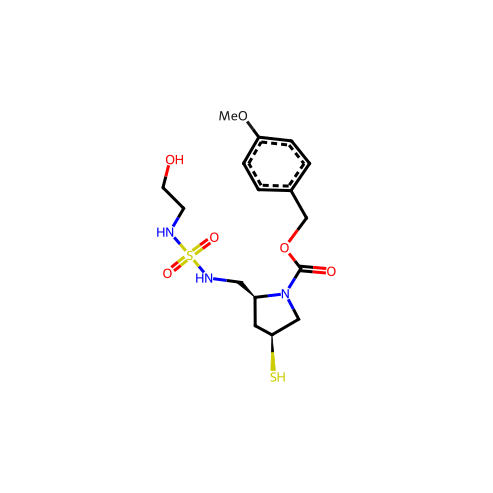 COc1ccc(COC(=O)N2C[C@@H](S)C[C@H]2CNS(=O)(=O)NCCO)cc1